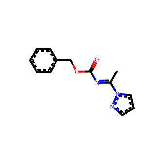 C/C(=N\C(=O)OCc1ccccc1)n1cccn1